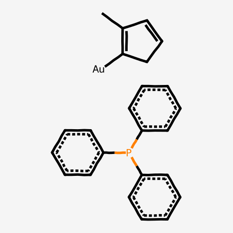 CC1=[C]([Au])CC=C1.c1ccc(P(c2ccccc2)c2ccccc2)cc1